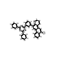 Clc1cc2c3cccnc3c(-c3cccc(-c4nc(-c5ccccc5)nc(-c5ccccc5)n4)c3)cc2c2ccccc12